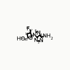 Nc1ncnc2c1ncn2[C@@H]1O[C@H](CO)CC1CF